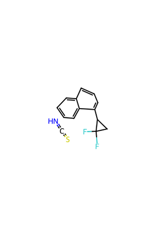 FC1(F)CC1c1cccc2ccccc12.N=C=S